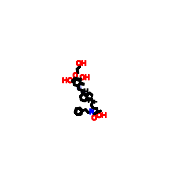 C=C1/C(=C\C=C2/CCC[C@]3(C)[C@@H]([C@H](C)CC4CC(C)(O)C(=O)N4CCc4ccccc4)CC[C@@H]23)C[C@@H](O)[C@H](OCCCO)[C@@H]1O